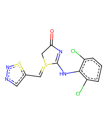 O=C1CS(=Cc2cnns2)C(Nc2c(Cl)cccc2Cl)=N1